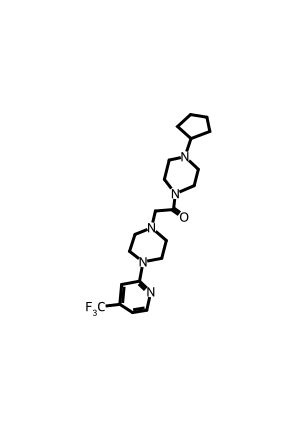 O=C(CN1CCN(c2cc(C(F)(F)F)ccn2)CC1)N1CCN(C2CCCC2)CC1